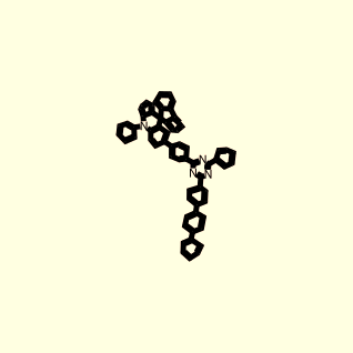 c1ccc(-c2ccc(-c3ccc(-c4nc(-c5ccccc5)nc(-c5ccc(-c6ccc7c(c6)C6(c8ccccc8-c8ccccc86)c6ccccc6N7c6ccccc6)cc5)n4)cc3)cc2)cc1